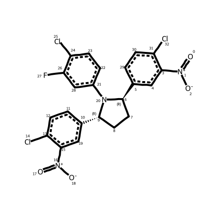 O=[N+]([O-])c1cc([C@H]2CC[C@H](c3ccc(Cl)c([N+](=O)[O-])c3)N2c2ccc(Cl)c(F)c2)ccc1Cl